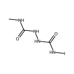 CNC(=O)NNC(=O)NI